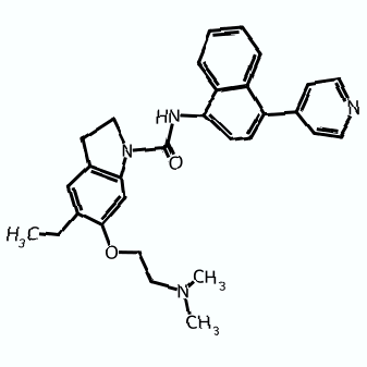 CCc1cc2c(cc1OCCN(C)C)N(C(=O)Nc1ccc(-c3ccncc3)c3ccccc13)CC2